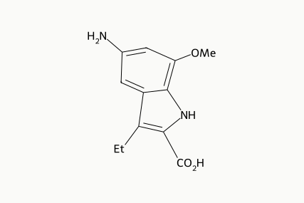 CCc1c(C(=O)O)[nH]c2c(OC)cc(N)cc12